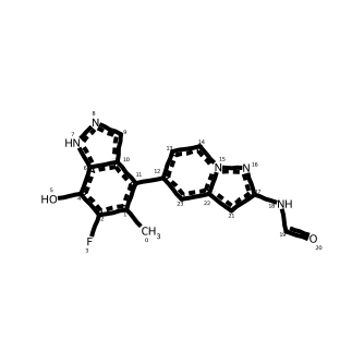 Cc1c(F)c(O)c2[nH]ncc2c1-c1ccn2nc(NC=O)cc2c1